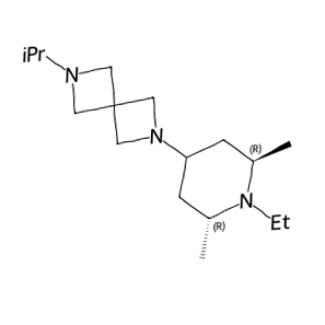 CCN1[C@H](C)CC(N2CC3(CN(C(C)C)C3)C2)C[C@H]1C